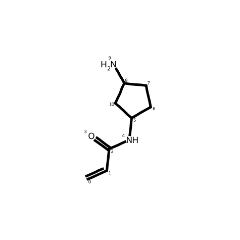 C=CC(=O)NC1CCC(N)C1